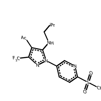 CC(=O)c1c(C(F)(F)F)nn(-c2ccc(S(C)(=O)=O)nc2)c1NCC(C)C